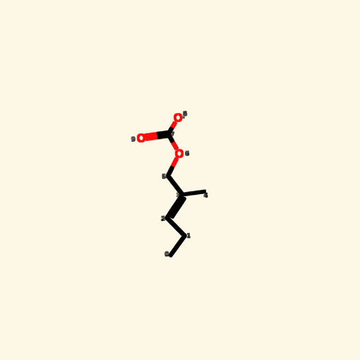 CC/C=C(\C)COC([O])=O